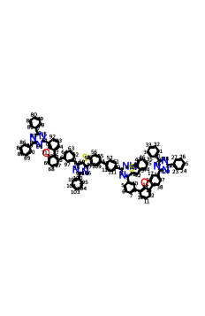 N=C(/N=C(/c1cccc(-c2cccc3c2oc2cc(-c4nc(-c5ccccc5)nc(-c5ccccc5)n4)ccc23)c1)c1cc2ccccc2s1)c1ccc(-c2ccc3sc4c(-c5cccc(-c6cccc7oc8c(-c9nc(-c%10ccccc%10)nc(-c%10ccccc%10)n9)cccc8c67)c5)nc(-c5ccccc5)nc4c3c2)cc1